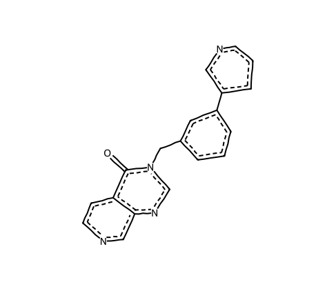 O=c1c2ccncc2ncn1Cc1cccc(-c2cccnc2)c1